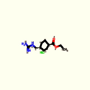 CCOC(=O)[C@H]1CC[C@H](CNC(=N)N)CC1.Cl